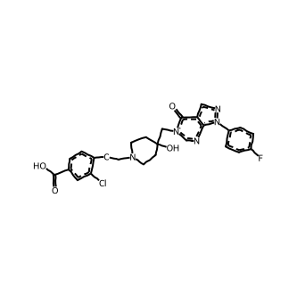 O=C(O)c1ccc(CCN2CCC(O)(Cn3cnc4c(cnn4-c4ccc(F)cc4)c3=O)CC2)c(Cl)c1